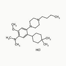 CCCCN1CCN(c2cc(OC)c(N(C)C)cc2C2CCC(C)(C)CC2)CC1.Cl